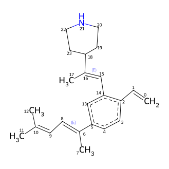 C=Cc1ccc(/C(C)=C/C=C(C)C)cc1/C=C(\C)C1CCNCC1